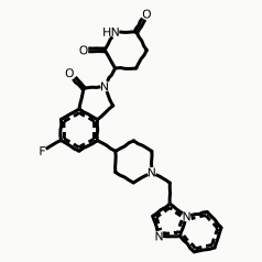 O=C1CCC(N2Cc3c(cc(F)cc3C3CCN(Cc4cnc5ccccn45)CC3)C2=O)C(=O)N1